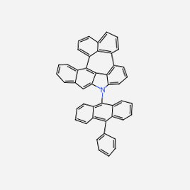 c1ccc(-c2c3ccccc3c(-n3c4cccc5c4c4c(c6ccccc6cc43)-c3cccc4cccc-5c34)c3ccccc23)cc1